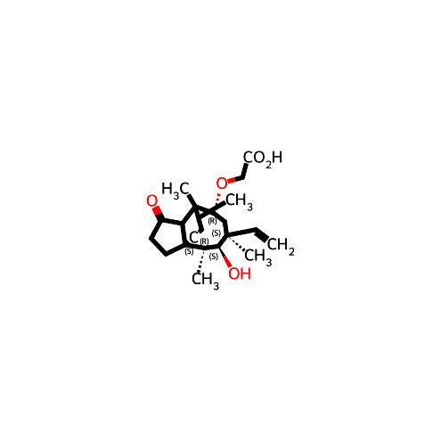 C=C[C@]1(C)C[C@@H](OCC(=O)O)C2(C)C(C)CC[C@]3(CCC(=O)C23)[C@@H](C)[C@@H]1O